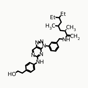 C=C(NCc1cccc(-n2nnc3cnc(Nc4ccc(CCO)cc4)nc32)c1)[C@H](C)CC(C)CC(CC)CC